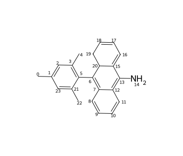 Cc1cc(C)c(C2=c3ccccc3=C(N)C3=CC=CCC32)c(C)c1